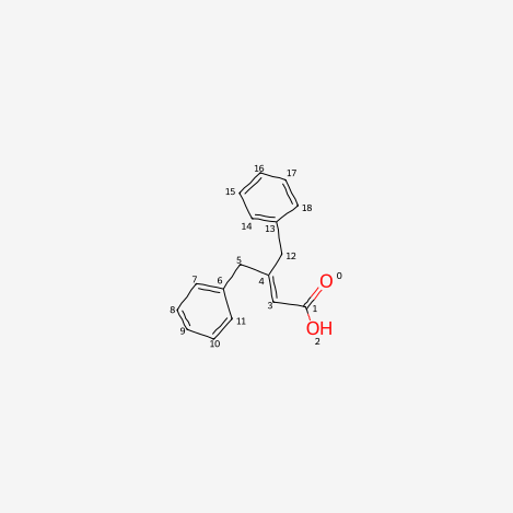 O=C(O)C=C(Cc1ccccc1)Cc1ccccc1